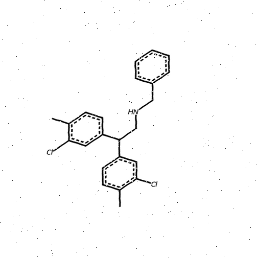 Cc1ccc([C](CNCc2ccccc2)c2ccc(C)c(Cl)c2)cc1Cl